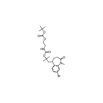 CN1C(=O)CCC(CC(C)(C)OC(=O)NCCOC(=O)OC(C)(C)C)c2ccc(Br)cc21